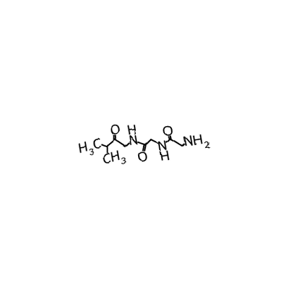 CC(C)C(=O)CNC(=O)CNC(=O)CN